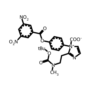 CN(CCC1=NC=C[N+]1(C(=O)[O-])c1ccc(OC(=O)c2cc([N+](=O)[O-])cc([N+](=O)[O-])c2)cc1)C(=O)OC(C)(C)C